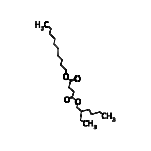 CCCCCCCCCCOC(=O)CCC(=O)OCC(CC)CCCC